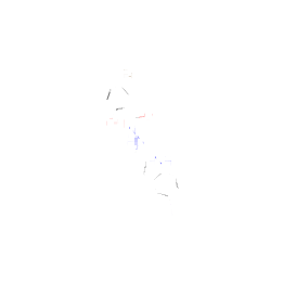 C/C(=N\NC(=O)c1cc(Br)ccc1O)c1cc2cc(I)ccc2[nH]1